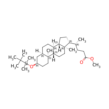 COC(=O)CC[C@@H](C)[C@H]1CC[C@H]2[C@@H]3CC[C@@H]4C[C@H](O[Si](C)(C)C(C)(C)C)CC[C@]4(C)[C@H]3CC[C@]12C